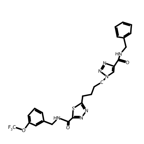 O=C(NCc1ccccc1)c1cn(CCCCc2nnc(C(=O)NCc3cccc(OC(F)(F)F)c3)s2)nn1